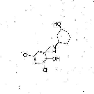 Oc1c(Cl)cc(Cl)cc1CN[C@@H]1CCC[C@H](O)C1